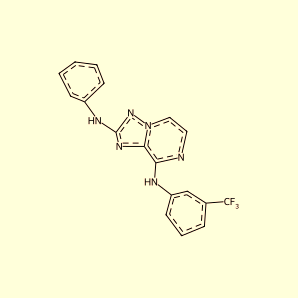 FC(F)(F)c1cccc(Nc2nccn3nc(Nc4ccccc4)nc23)c1